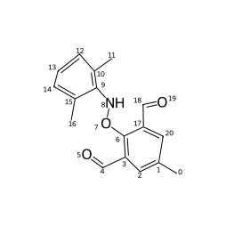 Cc1cc(C=O)c(ONc2c(C)cccc2C)c(C=O)c1